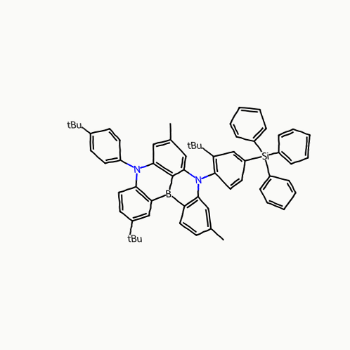 Cc1ccc2c(c1)N(c1ccc([Si](c3ccccc3)(c3ccccc3)c3ccccc3)cc1C(C)(C)C)c1cc(C)cc3c1B2c1cc(C(C)(C)C)ccc1N3c1ccc(C(C)(C)C)cc1